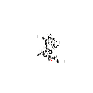 CC[C@H](C)[C@H](N)C(=O)N[C@@H](C)C(=O)N[C@@H](CO)C(=O)N[C@@H](CC(=O)O)C(=O)N[C@@H](CC(=O)O)C(=O)NCC(=O)N[C@@H](Cc1ccccc1)C(=O)N[C@@H](CCCCN)C(=O)N[C@@H](C)C(=O)N[C@H](C(=O)N[C@H](C(=O)NCC(N)=O)C(C)C)C(C)C